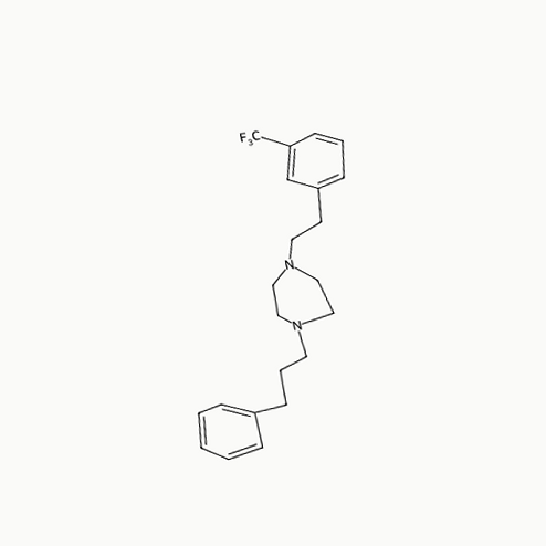 FC(F)(F)c1cccc(CCN2CCN(CCCc3ccccc3)CC2)c1